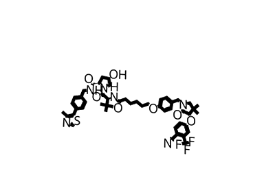 Cc1ncsc1-c1ccc(CNC(=O)[C@@H]2C[C@@H](O)CN2C(=O)[C@@H](NC(=O)CCCCCOc2ccc(CN3CC(C)(C)C(Oc4ccc(C#N)c(C(F)(F)F)c4)C3=O)cc2)C(C)(C)C)cc1